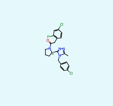 Cc1nnc([C@H]2CCCN2C(=O)Cc2ccc(Cl)cc2F)n1Cc1ccc(Cl)cc1